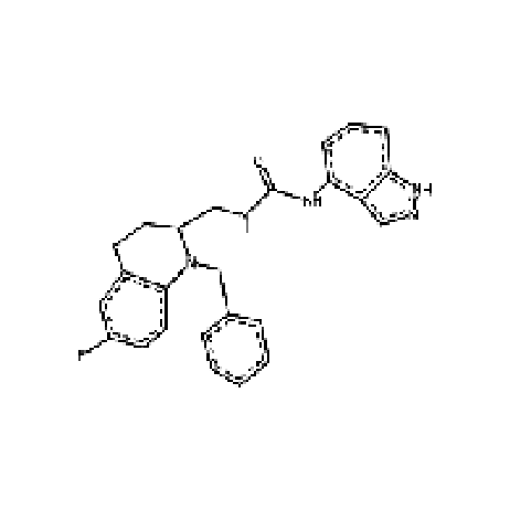 O=C(NCC1CCc2cc(F)ccc2N1Cc1ccccc1)Nc1cccc2[nH]ncc12